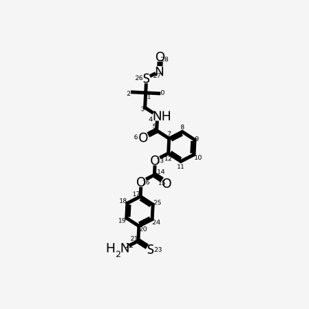 CC(C)(CNC(=O)c1ccccc1OC(=O)Oc1ccc(C(N)=S)cc1)SN=O